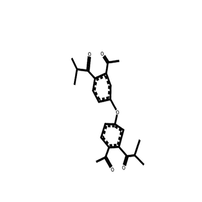 CC(=O)c1cc(Oc2ccc(C(C)=O)c(C(=O)C(C)C)c2)ccc1C(=O)C(C)C